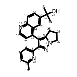 Cc1cccc(-c2nn3c(c2-c2ccnc4ccc(C(C)(C)O)cc24)CCC3)n1